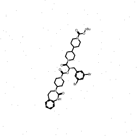 CCCCOC(=O)N1CCC(C2CCN(C(=O)[C@@H](Cc3cc(Br)cc(Br)c3)OC(=O)N3CCC(N4CCc5ccccc5NC4=O)CC3)CC2)CC1